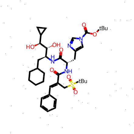 CC(C)(C)OC(=O)n1cnc(C[C@H](NC(=O)C(=Cc2ccccc2)CS(=O)(=O)C(C)(C)C)C(=O)N[C@@H](CC2CCCCC2)[C@@H](O)[C@@H](O)C2CC2)c1